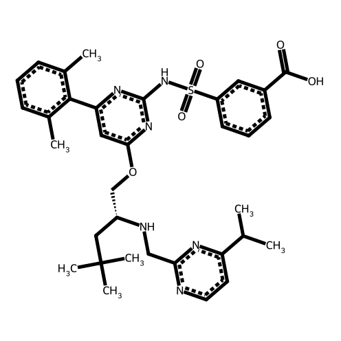 Cc1cccc(C)c1-c1cc(OC[C@@H](CC(C)(C)C)NCc2nccc(C(C)C)n2)nc(NS(=O)(=O)c2cccc(C(=O)O)c2)n1